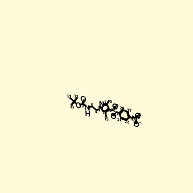 Cc1nn(CCNC(=O)OC(C)(C)C)c(C)c1S(=O)(=O)c1ccc([N+](=O)[O-])cc1